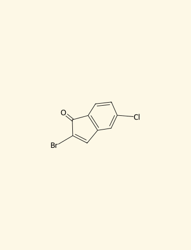 O=C1C(Br)=Cc2cc(Cl)ccc21